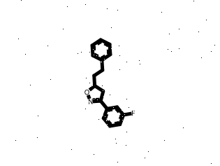 Fc1cccc(C2=NOC(CCc3ccccc3)C2)c1